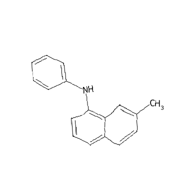 Cc1ccc2cccc(Nc3ccccc3)c2c1